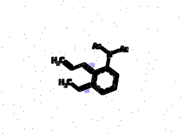 C=C/C=c1/c(N(C(C)=O)C(C)=O)ccc/c1=C/C